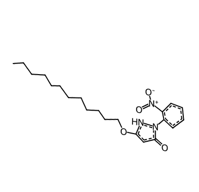 CCCCCCCCCCCCOc1cc(=O)n(-c2ccccc2[N+](=O)[O-])[nH]1